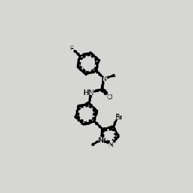 CN(C(=O)Nc1cccc(-c2c(Br)cnn2C)c1)c1ccc(F)cc1